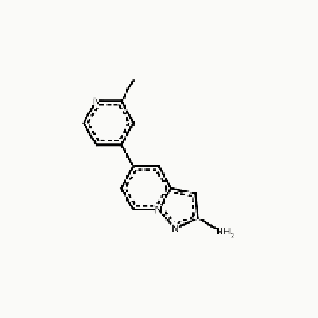 Cc1cc(-c2ccn3nc(N)cc3c2)ccn1